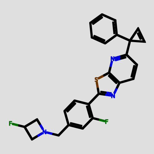 Fc1cc(CN2CC(F)C2)ccc1-c1nc2ccc(C3(c4ccccc4)C=C3)nc2s1